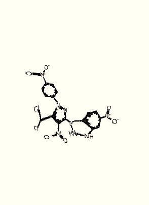 O=[N+]([O-])c1ccc(-n2nc(N3NNc4cc([N+](=O)[O-])ccc43)c([N+](=O)[O-])c2C(Cl)Cl)cc1